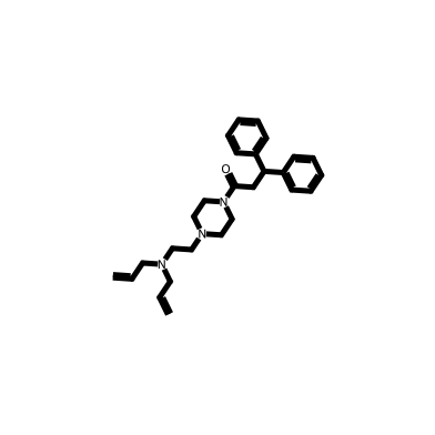 C=CCN(CC=C)CCN1CCN(C(=O)CC(c2ccccc2)c2ccccc2)CC1